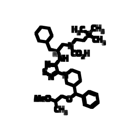 COC(C)COC(c1ccccc1)C1CCCN(c2nsnc2N[C@@H](CC2CCCCC2)CN(CC[Si](C)(C)C)C(=O)O)C1